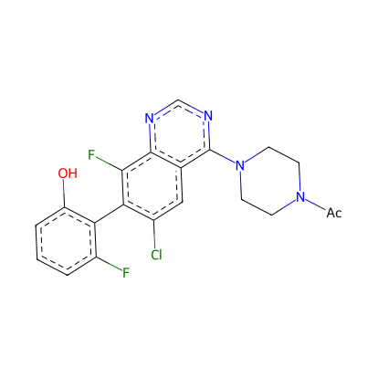 CC(=O)N1CCN(c2ncnc3c(F)c(-c4c(O)cccc4F)c(Cl)cc23)CC1